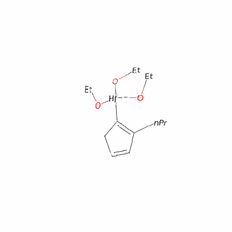 CCCC1=[C]([Hf]([O]CC)([O]CC)[O]CC)CC=C1